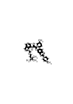 C[C@H]1CC[C@H](c2ccc3sc(N4CCN(C)CC4)nc3c2)N(C(=O)C(=O)Nc2cncc3cnn(COCC[Si](C)(C)C)c23)C1